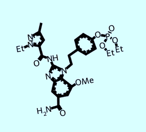 CCOP(=O)(OCC)Oc1ccc(CCn2c(NC(=O)c3cc(C)nn3CC)nc3cc(C(N)=O)cc(OC)c32)cc1